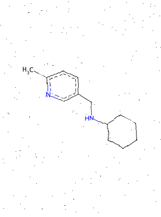 Cc1ccc(CNC2CCCCC2)cn1